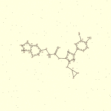 O=C(Cc1nc(-c2ccc(Cl)c(F)c2)nn1CC1CC1)NCc1ccc2[nH]ncc2c1